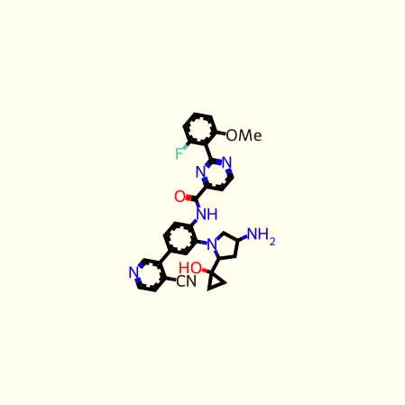 COc1cccc(F)c1-c1nccc(C(=O)Nc2ccc(-c3cnccc3C#N)cc2N2CC(N)CC2C2(O)CC2)n1